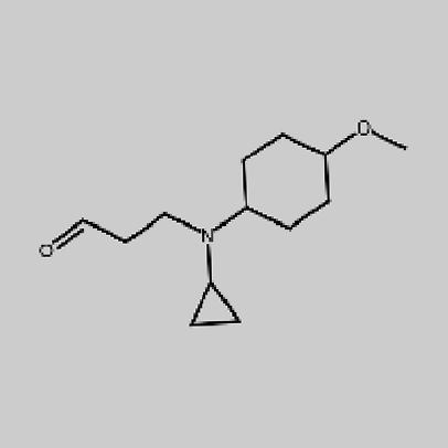 COC1CCC(N(CCC=O)C2CC2)CC1